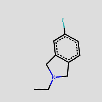 CCN1Cc2ccc(F)cc2C1